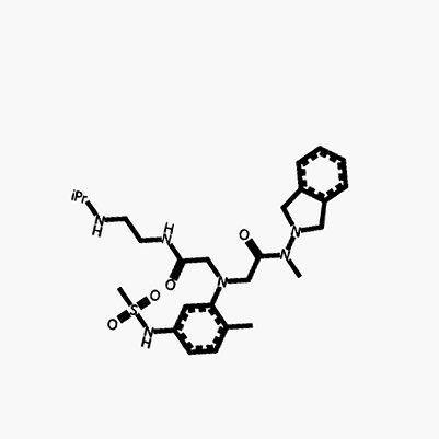 Cc1ccc(NS(C)(=O)=O)cc1N(CC(=O)NCCNC(C)C)CC(=O)N(C)N1Cc2ccccc2C1